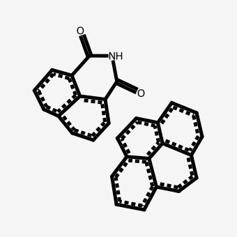 O=C1NC(=O)c2cccc3cccc1c23.c1cc2ccc3cccc4ccc(c1)c2c34